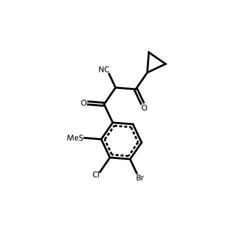 CSc1c(C(=O)C(C#N)C(=O)C2CC2)ccc(Br)c1Cl